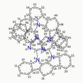 c1ccc2c(-c3nc(-n4c5ccccc5c5ccc6c7ccccc7n(-c7cccc8ccccc78)c6c54)nc(-n4c5ccccc5c5ccc6c7ccccc7n(-c7cccc8ccccc78)c6c54)n3)cccc2c1